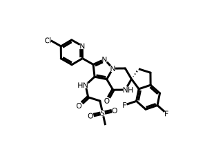 CS(=O)(=O)CC(=O)Nc1c(-c2ccc(Cl)cn2)nn2c1C(=O)N[C@@]1(CCc3cc(F)cc(F)c31)C2